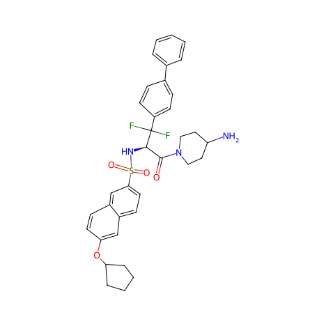 NC1CCN(C(=O)[C@@H](NS(=O)(=O)c2ccc3cc(OC4CCCC4)ccc3c2)C(F)(F)c2ccc(-c3ccccc3)cc2)CC1